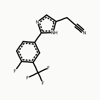 N#CCc1cnc(-c2ccc(F)c(C(F)(F)F)c2)[nH]1